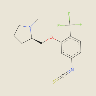 CN1CCC[C@@H]1COc1cc(N=C=S)ccc1C(F)(F)F